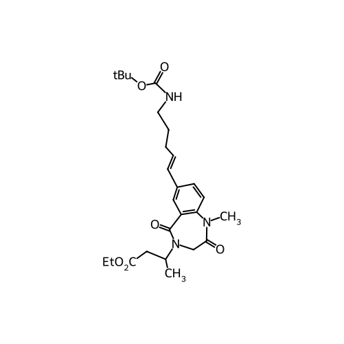 CCOC(=O)CC(C)N1CC(=O)N(C)c2ccc(C=CCCCNC(=O)OC(C)(C)C)cc2C1=O